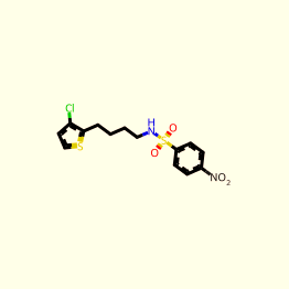 O=[N+]([O-])c1ccc(S(=O)(=O)NCCCCc2sccc2Cl)cc1